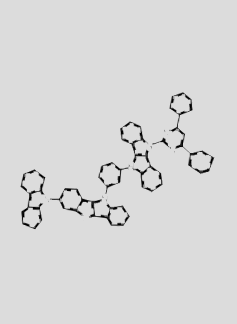 c1ccc(-c2cc(-c3ccccc3)nc(-n3c4ccccc4c4c3c3ccccc3n4-c3cccc(-n4c5ccccc5c5oc6cc(-n7c8ccccc8c8ccccc87)ccc6c54)c3)n2)cc1